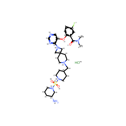 CC(C)N(C(=O)c1cc(F)ccc1Oc1cncnc1N1CC2(CCN(CC3CCN(S(=O)(=O)N4CCC[C@@H](N)C4)CC3)CC2)C1)C(C)C.Cl